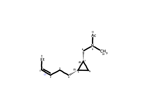 CC/C=C\CC[C@H]1C[C@H]1CN(C)C(C)=O